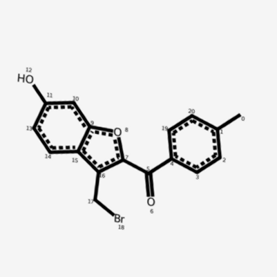 Cc1ccc(C(=O)c2oc3cc(O)ccc3c2CBr)cc1